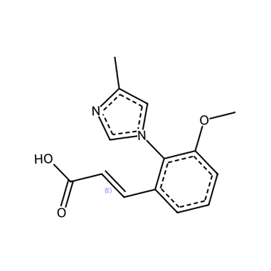 COc1cccc(/C=C/C(=O)O)c1-n1cnc(C)c1